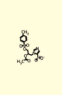 CC(=O)OC(COS(=O)(=O)c1ccc(C)cc1)Cn1cncc1[N+](=O)[O-]